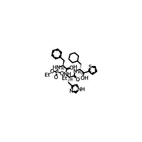 CCOP(=O)(N[C@@H](Cc1ccccc1)C(=O)N[C@@H](Cc1c[nH]cn1)C(=O)N[C@H](CC1CCCCC1)[C@H](O)c1cccs1)OCC